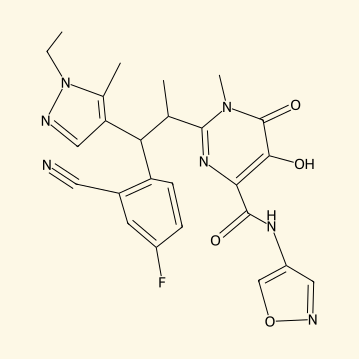 CCn1ncc(C(c2ccc(F)cc2C#N)C(C)c2nc(C(=O)Nc3cnoc3)c(O)c(=O)n2C)c1C